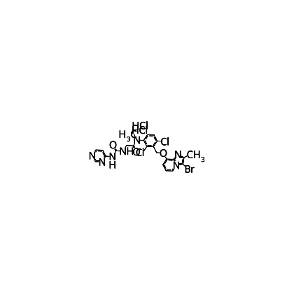 Cc1nc2c(OCc3c(Cl)ccc(N(C)C(=O)CNC(=O)Nc4ccncn4)c3Cl)cccn2c1Br.Cl.Cl